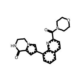 O=C1NCCn2cc(-c3cccc4ccc(C(=O)N5CCOCC5)nc34)cc21